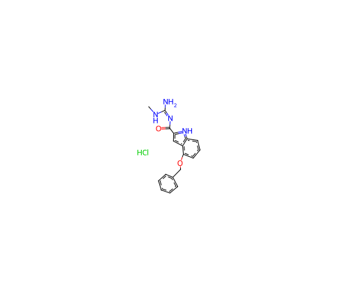 CNC(N)=NC(=O)c1cc2c(OCc3ccccc3)cccc2[nH]1.Cl